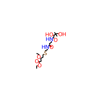 CCOC(=O)CC(CCSCCNC(=O)CCNC(=O)C(O)C(C)(C)CO)OCC